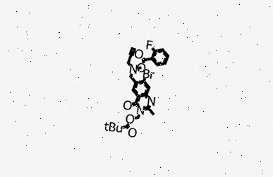 C#CCN(Cc1cc2c(=O)n(COC(=O)C(C)(C)C)c(C)nc2cc1Br)OC(=O)c1ccccc1F